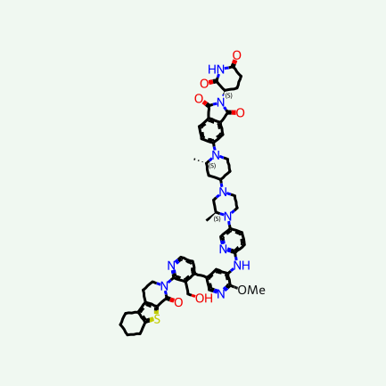 COc1ncc(-c2ccnc(N3CCc4c(sc5c4CCCC5)C3=O)c2CO)cc1Nc1ccc(N2CCN(C3CCN(c4ccc5c(c4)C(=O)N([C@H]4CCC(=O)NC4=O)C5=O)[C@@H](C)C3)C[C@@H]2C)cn1